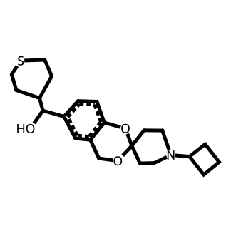 OC(c1ccc2c(c1)COC1(CCN(C3CCC3)CC1)O2)C1CCSCC1